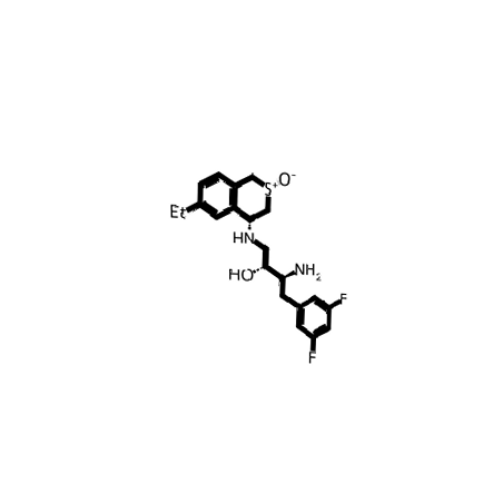 CCc1ccc2c(c1)[C@@H](NC[C@@H](O)[C@@H](N)Cc1cc(F)cc(F)c1)C[S+]([O-])C2